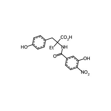 CCC(Cc1ccc(O)cc1)(NC(=O)c1ccc([N+](=O)[O-])c(O)c1)C(=O)O